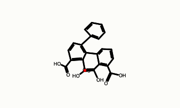 O=C(O)c1cccc(-c2c(-c3ccccc3)ccc(C(=O)O)c2C(=O)O)c1C(=O)O